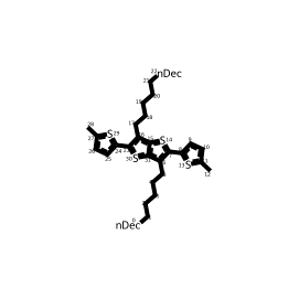 CCCCCCCCCCCCCCCc1c(-c2ccc(C)s2)sc2c(CCCCCCCCCCCCCCC)c(-c3ccc(C)s3)sc12